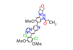 C=CC(=O)Nc1cc(-c2cc3c(cn2)cc(-c2c(Cl)c(OC)cc(OC)c2Cl)c2nccn23)c(OC)cc1N1CC2COCC2C1